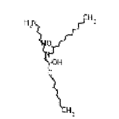 CCCCCCCCCCC(O)CN(CCCCCCN)CC(O)CCCCCCCCCC